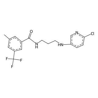 Cc1cc(C(=O)NCCCNc2ccc(Cl)nc2)cc(C(F)(F)F)c1